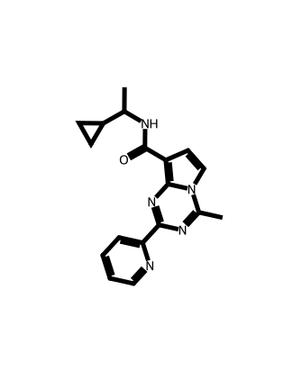 Cc1nc(-c2ccccn2)nc2c(C(=O)NC(C)C3CC3)ccn12